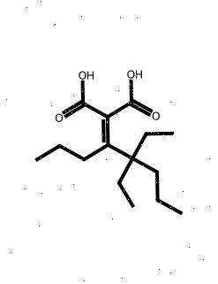 CCCC(=C(C(=O)O)C(=O)O)C(CC)(CC)CCC